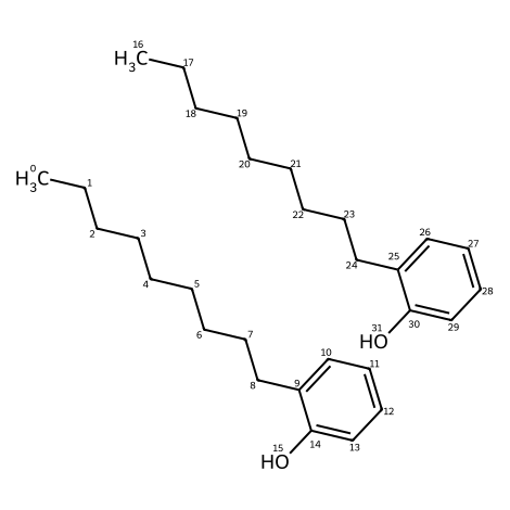 CCCCCCCCCc1ccccc1O.CCCCCCCCCc1ccccc1O